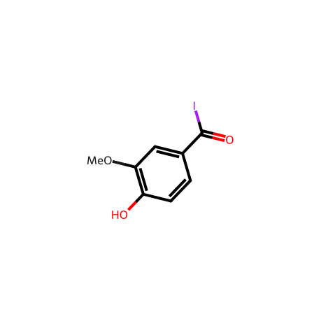 COc1cc(C(=O)I)ccc1O